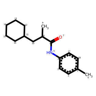 Cc1ccc(NC(=O)C(C)CC2CCCCC2)cc1